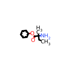 CCC(C)(N)C(=O)Oc1ccccc1